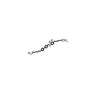 CCCCCCCCc1ccc(OCc2ccc(-c3ccc(CCCCCCC)cc3)cc2)c(F)c1F